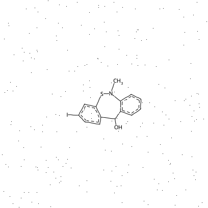 CN1Sc2cc(I)ccc2C(O)c2ccccc21